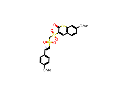 COc1ccc(/C=C/S(=O)(=O)CS(=O)(=O)c2cc3ccc(OC)cc3sc2=O)cc1